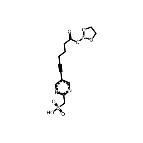 O=C(CCCC#Cc1cnc(CS(=O)(=O)O)nc1)ON1OCCO1